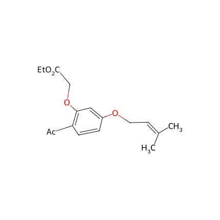 CCOC(=O)COc1cc(OCC=C(C)C)ccc1C(C)=O